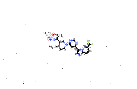 CC(NS(C)(=O)=O)C1CN(c2cc(-c3cnc4ccc(C(F)F)nn34)ncn2)CCN1C